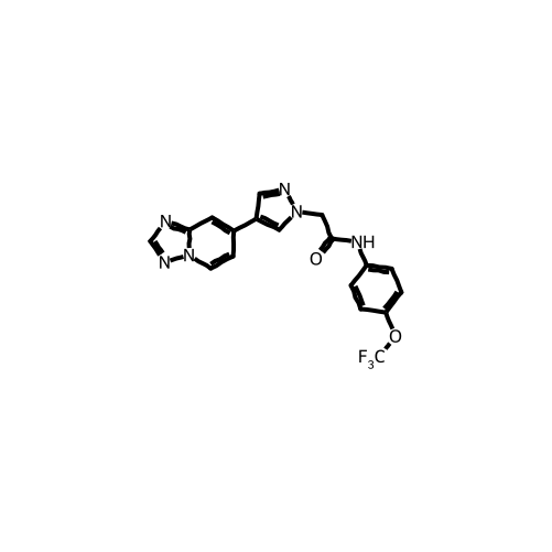 O=C(Cn1cc(-c2ccn3ncnc3c2)cn1)Nc1ccc(OC(F)(F)F)cc1